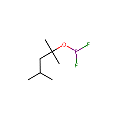 CC(C)CC(C)(C)OP(F)F